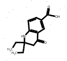 CCC1(CC)CC(=O)c2cc(C(=O)O)ccc2N1